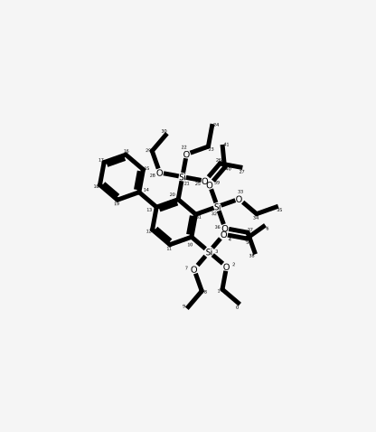 CCO[Si](OCC)(OCC)c1ccc(-c2ccccc2)c([Si](OCC)(OCC)OCC)c1[Si](OCC)(OCC)OCC